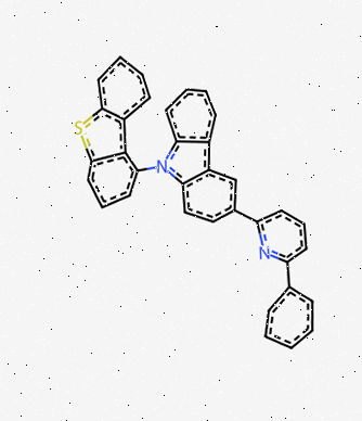 c1ccc(-c2cccc(-c3ccc4c(c3)c3ccccc3n4-c3cccc4sc5ccccc5c34)n2)cc1